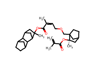 C=C(C)C(=O)O[C@]1(C)CC2CCC1(COC/C=C(/C)C(=O)OC1(C)CC3CC1C1C4CCC(C4)C31)C2